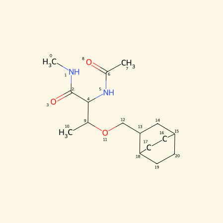 CNC(=O)C(NC(C)=O)C(C)OCC1CC2CCC1CC2